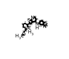 COCCN1CCCC(c2cc3c(Nc4ccc5scnc5c4)ccnc3s2)C1C